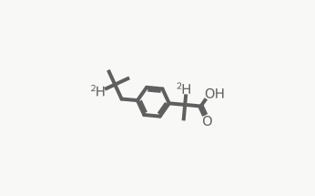 [2H]C(C)(C)Cc1ccc(C([2H])(C)C(=O)O)cc1